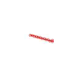 COC(=O)CCOCCOCCOCCOCCOCCOCCOCCOCCOCCOCC=O